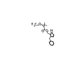 CC1(C)C(OCC(F)(F)F)C1C(=O)OCc1[nH]ccc1Cc1ccccc1